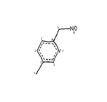 Cc1ccc(CN=O)nc1